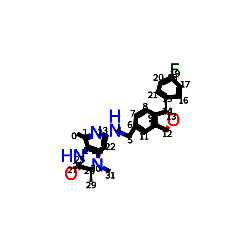 Cc1nc(NCc2ccc3c(c2)CO[C@@H]3c2ccc(F)cc2)cc2c1NC(=O)[C@H](C)N2C